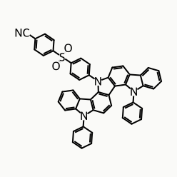 N#Cc1ccc(S(=O)(=O)c2ccc(-n3c4ccc5c6ccccc6n(-c6ccccc6)c5c4c4ccc5c(c6ccccc6n5-c5ccccc5)c43)cc2)cc1